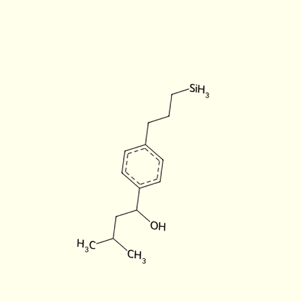 CC(C)CC(O)c1ccc(CCC[SiH3])cc1